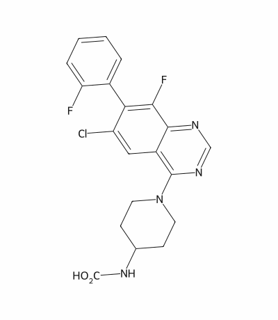 O=C(O)NC1CCN(c2ncnc3c(F)c(-c4ccccc4F)c(Cl)cc23)CC1